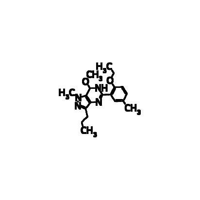 CCCc1nn(C)c2c1N=C(c1cc(C)ccc1OCC)NC2OC